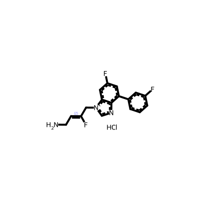 Cl.NC/C=C(\F)Cn1cnc2c(-c3cccc(F)c3)cc(F)cc21